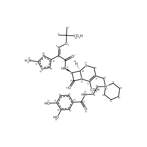 CC(C)(O/N=C(\C(=O)N[C@@H]1C(=O)N2C(C(=O)O)=C(C[N+]3(CCNC(=O)c4ccc(O)c(O)c4)CCCCC3)CS[C@H]12)c1csc(N)n1)C(=O)O